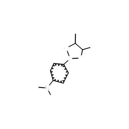 CC1OB(c2ccc(N(C)C)cc2)OC1C